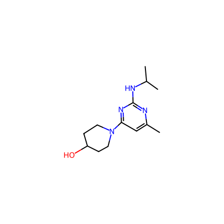 Cc1cc(N2CCC(O)CC2)nc(NC(C)C)n1